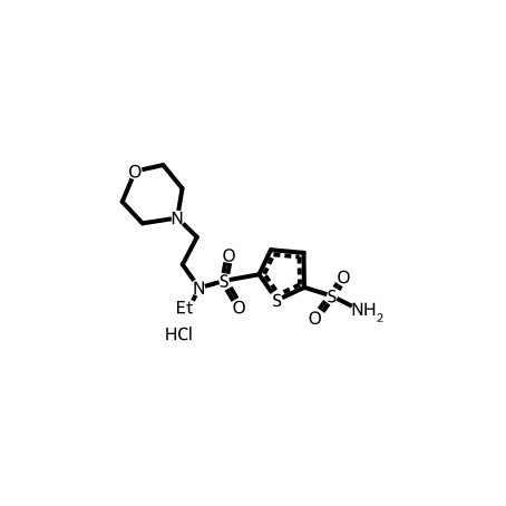 CCN(CCN1CCOCC1)S(=O)(=O)c1ccc(S(N)(=O)=O)s1.Cl